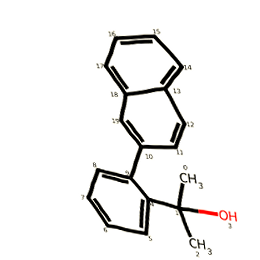 CC(C)(O)c1ccccc1-c1ccc2ccccc2c1